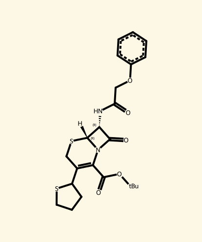 CC(C)(C)OC(=O)C1=C(C2CCCS2)CS[C@@H]2[C@H](NC(=O)COc3ccccc3)C(=O)N12